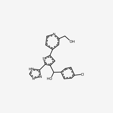 OCc1cc(-c2cc(C(O)c3ccc(Cl)cc3)c(-c3nnc[nH]3)s2)ccn1